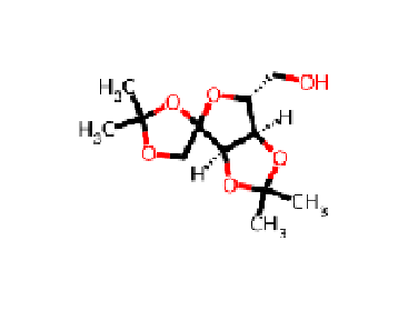 CC1(C)O[C@H]2[C@@H](O1)C1(COC(C)(C)O1)O[C@@H]2CO